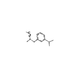 CSC(C)Cc1cccc(C(C)C)c1